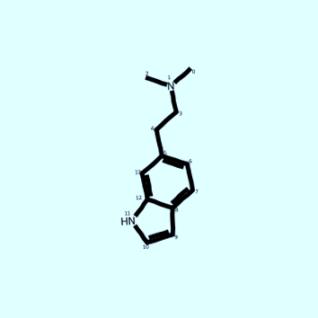 CN(C)CCc1ccc2cc[nH]c2c1